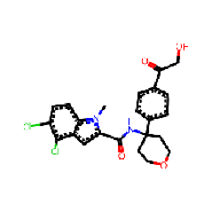 Cn1c(C(=O)NC2(c3ccc(C(=O)CO)cc3)CCOCC2)cc2c(Cl)c(Cl)ccc21